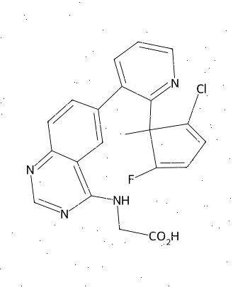 CC1(c2ncccc2-c2ccc3ncnc(NCC(=O)O)c3c2)C(F)=CC=C1Cl